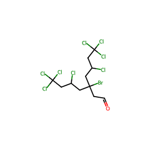 O=CCC(Br)(CC(Cl)CC(Cl)(Cl)Cl)CC(Cl)CC(Cl)(Cl)Cl